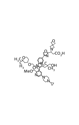 CO[C@@H](C)c1ncc(N2CCN(C3CC3)CC2)cc1-c1c(CC(C)(C)CO)c2cc(-c3coc(C(CC(=O)O)N4CC5(COC5)C4)n3)ccc2n1CCO[C@H]1CCOC(C)(C)C1